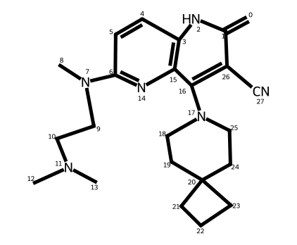 C=C1Nc2ccc(N(C)CCN(C)C)nc2C(N2CCC3(CCC3)CC2)=C1C#N